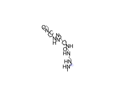 O=C(CNCCCN/C=C\NI)Nc1ccc(-c2ccnc(Nc3ccc(N4CCOCC4)cc3)n2)cc1